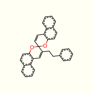 C1=CC2(Oc3ccc4ccccc4c31)Oc1ccc3ccccc3c1C=C2CCc1ccccc1